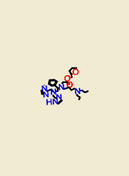 CCCN(CCC)CCCCN(CC(=O)OC[C@H]1CCCO1)C(CN(Cc1ncc[nH]1)Cc1nccn1C)c1ccccc1